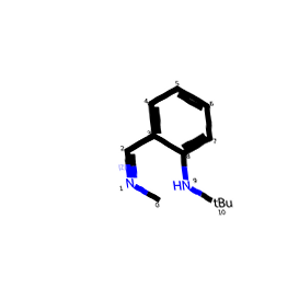 C/N=C\c1ccccc1NC(C)(C)C